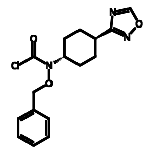 O=C(Cl)N(OCc1ccccc1)[C@H]1CC[C@H](c2ncon2)CC1